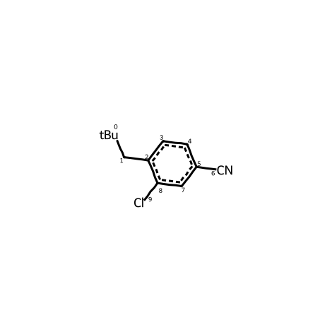 CC(C)(C)Cc1ccc(C#N)cc1Cl